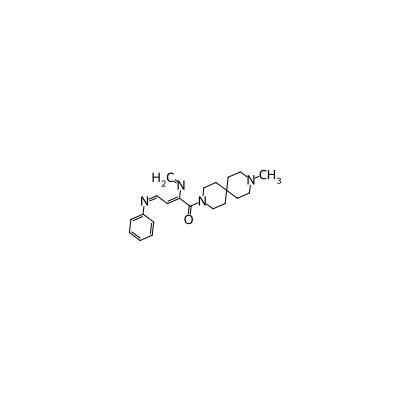 C=N/C(=C\C=N/c1ccccc1)C(=O)N1CCC2(CCN(C)CC2)CC1